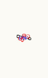 O=C(NN=Cc1ccccc1O)c1cc2ccccc2oc1=O